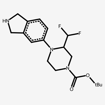 CC(C)(C)OC(=O)N1CCN(c2ccc3c(c2)CNC3)C(C(F)F)C1